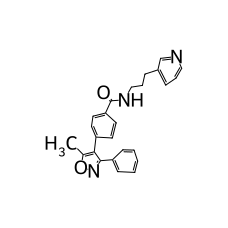 Cc1onc(-c2ccccc2)c1-c1ccc(C(=O)NCCCc2cccnc2)cc1